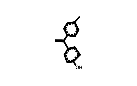 C=C(c1ccc(C)cc1)c1ccc(O)cc1